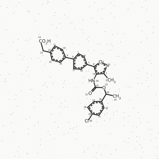 Cc1noc(-c2ccc(-c3ccc(CC(=O)O)cc3)cc2)c1NC(=O)OC(C)c1ccc(Cl)cc1